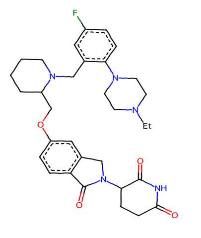 CCN1CCN(c2ccc(F)cc2CN2CCCCC2COc2ccc3c(c2)CN(C2CCC(=O)NC2=O)C3=O)CC1